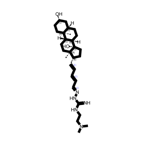 CN(C)CCNC(=N)N/N=C/C=C/C=C/[C@H]1CC[C@]2(O)[C@@H]3CC[C@@H]4C[C@@H](O)CC[C@]4(C)[C@H]3CC[C@]12C